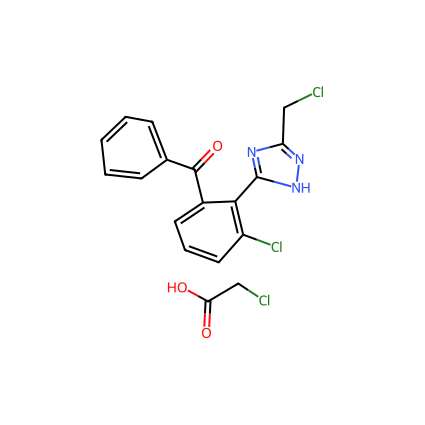 O=C(O)CCl.O=C(c1ccccc1)c1cccc(Cl)c1-c1nc(CCl)n[nH]1